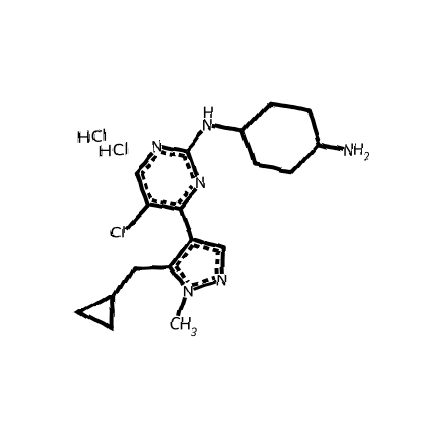 Cl.Cl.Cn1ncc(-c2nc(NC3CCC(N)CC3)ncc2Cl)c1CC1CC1